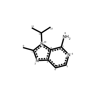 Cc1nc2ccnc(N)c2n1C(C)C